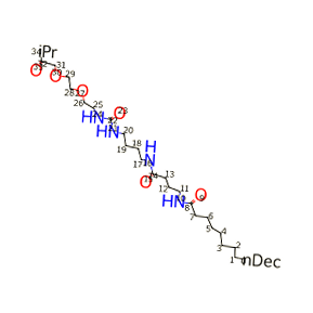 CCCCCCCCCCCCCCCCCC(=O)NCCCC(=O)NCCCCNC(=O)NCCOCCOCC(=O)C(C)C